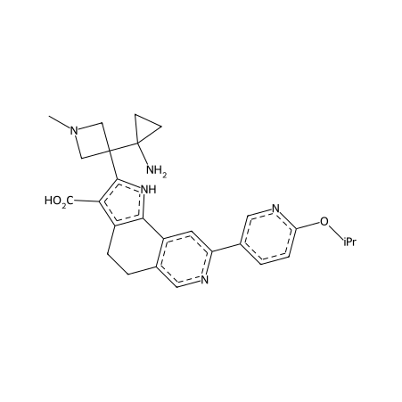 CC(C)Oc1ccc(-c2cc3c(cn2)CCc2c-3[nH]c(C3(C4(N)CC4)CN(C)C3)c2C(=O)O)cn1